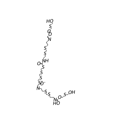 O=C(NCCSCSCC/N=C\[S+]([O-])CSCSCSC(=O)NCCSCSCC/N=C/OOCSCO)OCSCO